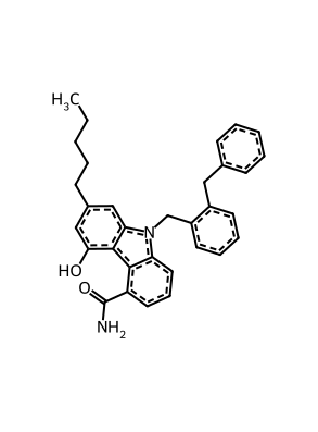 CCCCCc1cc(O)c2c3c(C(N)=O)cccc3n(Cc3ccccc3Cc3ccccc3)c2c1